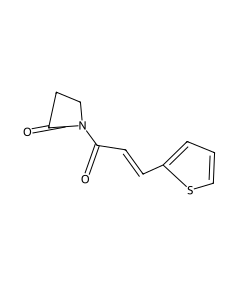 O=C(/C=C/c1cccs1)N1CCC1=O